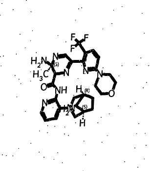 C[C@]1(N)N=CC(c2nc(N3CCOCC3)ccc2C(F)(F)F)=NC1C(=O)Nc1ncccc1N1C[C@H]2CC[C@@H](C1)C2N